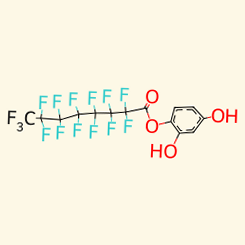 O=C(Oc1ccc(O)cc1O)C(F)(F)C(F)(F)C(F)(F)C(F)(F)C(F)(F)C(F)(F)C(F)(F)F